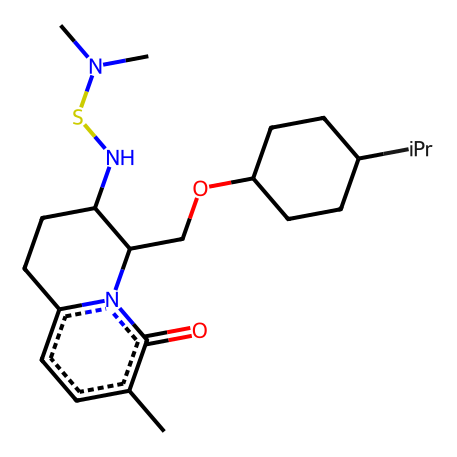 Cc1ccc2n(c1=O)C(COC1CCC(C(C)C)CC1)C(NSN(C)C)CC2